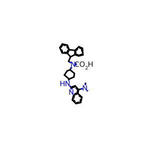 CN(C)c1cc(NC2CCC(N(CC3c4ccccc4-c4ccccc43)C(=O)O)CC2)nc2ccccc12